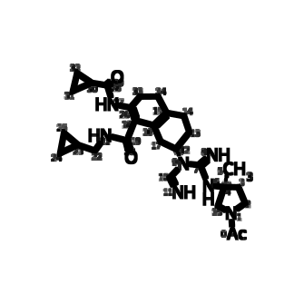 CC(=O)N1CC[C@](C)(NC(=N)N(C=N)[C@H]2CCC3=C(C2)C(C(=O)NCC2CC2)=C(NC(=O)C2CC2)CC3)C1